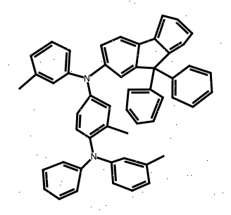 Cc1cccc(N(c2ccc(N(c3ccccc3)c3cccc(C)c3)c(C)c2)c2ccc3c(c2)C(c2ccccc2)(c2ccccc2)c2ccccc2-3)c1